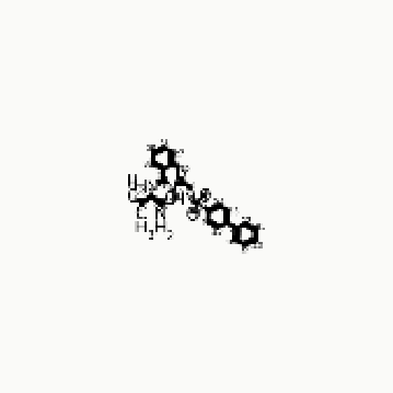 CC(C)[C@H](Nc1nc(CNS(=O)(=O)c2ccc(-c3ccccc3)cc2)nc2ccccc12)C(N)=O